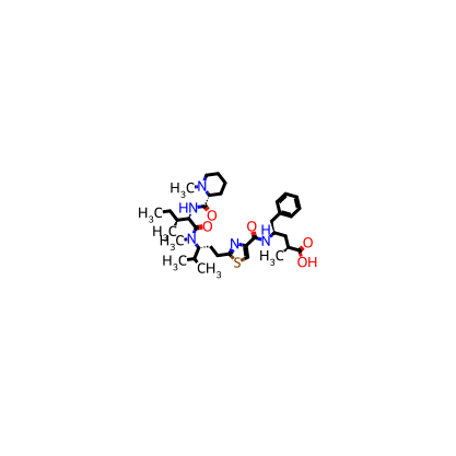 CC[C@H](C)[C@H](NC(=O)[C@H]1CCCCN1C)C(=O)N(C)[C@H](CCc1nc(C(=O)N[C@@H](Cc2ccccc2)C[C@H](C)C(=O)O)cs1)C(C)C